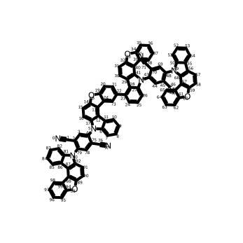 N#Cc1cc(-n2c3ccccc3c3c4c(ccc32)oc2ccc(-c3cccc5c3c3ccc6oc7ccccc7c6c3n5-c3cc(C#N)c(-n5c6ccccc6c6ccc7oc8ccccc8c7c65)cc3C#N)cc24)c(C#N)cc1-n1c2ccccc2c2c3c(ccc21)oc1ccccc13